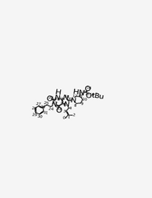 CC(C)=CCn1c(N2CCCC(NC(=O)OC(C)(C)C)C2)nc2[nH]c(=O)n(CCc3ccccc3)c(=O)c21